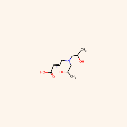 CC(O)CN(C/C=C/C(=O)O)CC(C)O